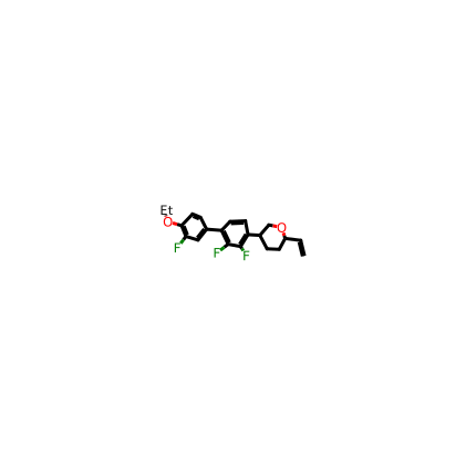 C=CC1CCC(c2ccc(-c3ccc(OCC)c(F)c3)c(F)c2F)CO1